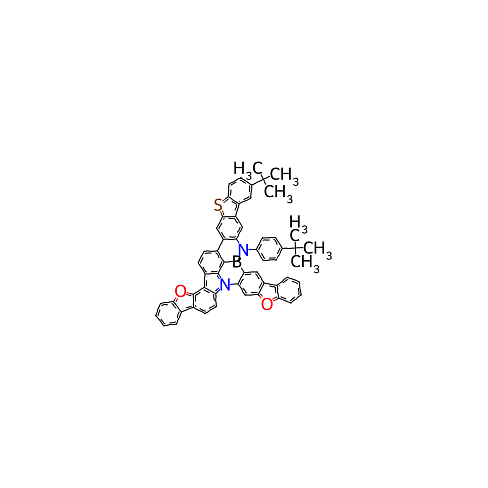 CC(C)(C)c1ccc(N2B3c4cc5c(cc4-n4c6ccc7c8ccccc8oc7c6c6ccc(c3c64)-c3cc4sc6ccc(C(C)(C)C)cc6c4cc32)oc2ccccc25)cc1